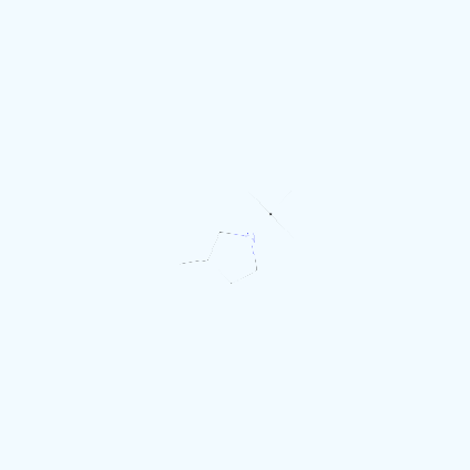 CC1CCN(C(C)(C)C)C1